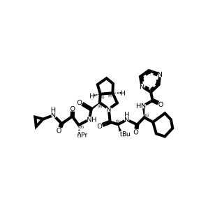 CCC[C@@H](NC(=O)[C@H]1[C@H]2CCC[C@H]2CN1C(=O)[C@@H](NC(=O)[C@@H](NC(=O)c1cnccn1)C1CCCCC1)C(C)(C)C)C(=O)C(=O)NC1CC1